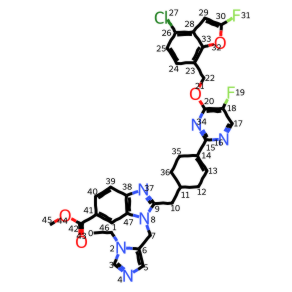 CCn1cncc1Cn1c(CC2CC=C(c3ncc(F)c(OCc4ccc(Cl)c5cc(F)oc45)n3)CC2)nc2ccc(C(=O)OC)cc21